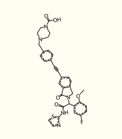 COc1ccc(F)cc1C(C(=O)Nc1nccs1)N1Cc2ccc(C#Cc3ccc(CN4CCN(C(=O)O)CC4)cc3)cc2C1=O